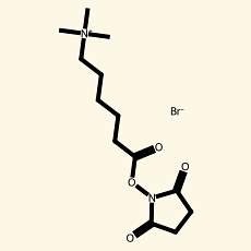 C[N+](C)(C)CCCCCC(=O)ON1C(=O)CCC1=O.[Br-]